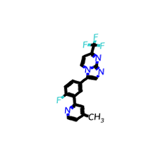 Cc1ccnc(-c2cc(-c3cnc4nc(C(F)(F)F)ccn34)ccc2F)c1